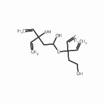 C=CC(O)(C=C)CC(O)OC(C=C)(C=C)CCO